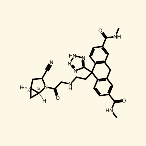 CNC(=O)c1ccc2c(c1)Cc1cc(C(=O)NC)ccc1C2(CCNCC(=O)N1C(C#N)C[C@@H]2C[C@@H]21)c1nn[nH]n1